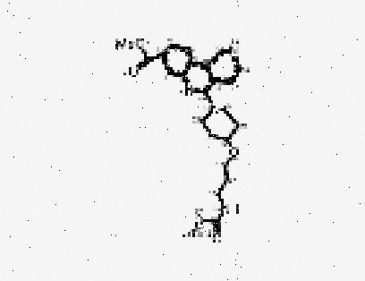 COC(=O)c1ccc2c(c1)nc(N1CCC(OCCCNC(=O)OC(C)(C)C)CC1)c1ccncc12